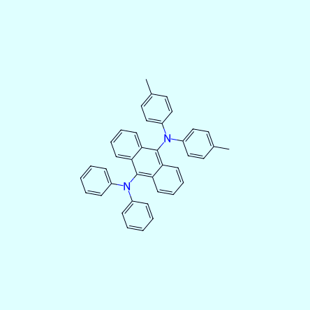 Cc1ccc(N(c2ccc(C)cc2)c2c3ccccc3c(N(c3ccccc3)c3ccccc3)c3ccccc23)cc1